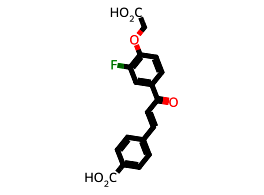 O=C(O)COc1ccc(C(=O)C=Cc2ccc(C(=O)O)cc2)cc1F